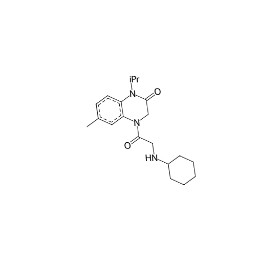 Cc1ccc2c(c1)N(C(=O)CNC1CCCCC1)CC(=O)N2C(C)C